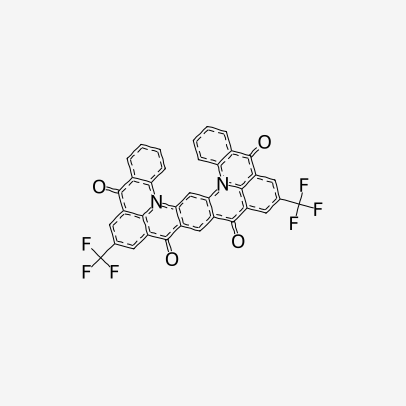 O=c1c2ccccc2n2c3cc4c(cc3c(=O)c3cc(C(F)(F)F)cc1c32)c(=O)c1cc(C(F)(F)F)cc2c(=O)c3ccccc3n4c21